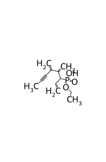 C=CC(C(=C)C(=C)C#CC)P(=O)(O)OCC